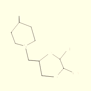 CCCC1OCC(CN2CCC(C)CC2)OC1CCC